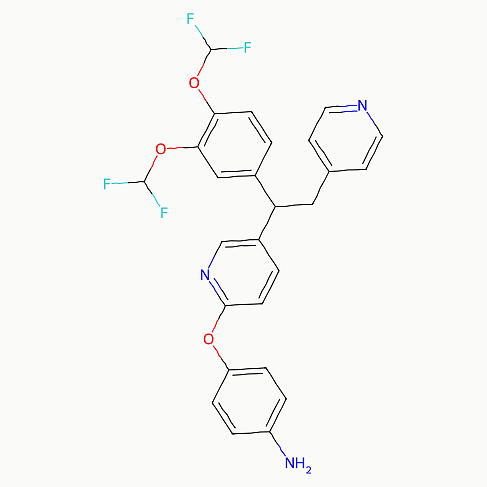 Nc1ccc(Oc2ccc(C(Cc3ccncc3)c3ccc(OC(F)F)c(OC(F)F)c3)cn2)cc1